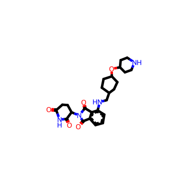 O=C1CCC(N2C(=O)c3cccc(NCC4CCC(OC5CCNCC5)CC4)c3C2=O)C(=O)N1